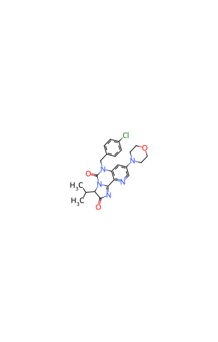 CC(C)C1C(=O)N=C2c3ncc(N4CCOCC4)cc3N(Cc3ccc(Cl)cc3)C(=O)N21